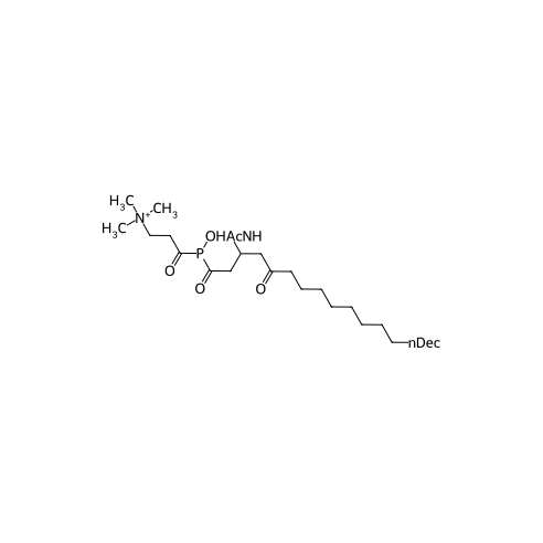 CCCCCCCCCCCCCCCCCCC(=O)CC(CC(=O)P(O)C(=O)CC[N+](C)(C)C)NC(C)=O